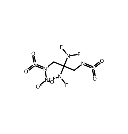 O=[N+]([O-])[N+](CC(CN=S(=O)=O)(N(F)F)N(F)F)=S(=O)=O